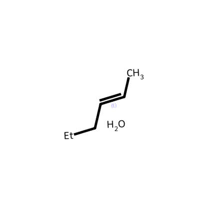 C/C=C/CCC.O